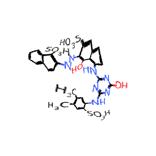 Cc1cc(Nc2nc(O)nc(Nc3cccc4cc(S(=O)(=O)O)c(/N=N/c5ccc6ccccc6c5S(=O)(=O)O)c(O)c34)n2)c(S(=O)(=O)O)cc1C